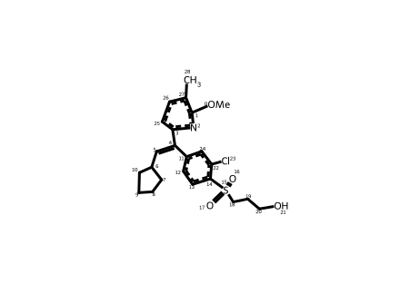 COc1nc(/C(=C/C2CCCC2)c2ccc(S(=O)(=O)CCCO)c(Cl)c2)ccc1C